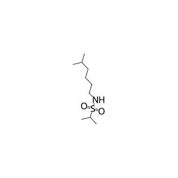 CC(C)CCCCNS(=O)(=O)C(C)C